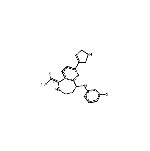 C/C(N)=C1/NCCC(Nc2cccc(Cl)c2)c2cc(C3=CCNC3)ccc21